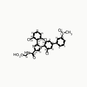 C[S+]([O-])c1cccc(-c2ccc(-n3cc(C(=O)NCC(=O)O)nc3-c3c(Cl)cccc3Cl)c(Cl)c2)c1